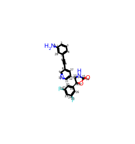 Nc1cccc(C#Cc2cncc([C@@H]3NC(=O)O[C@H]3c3cc(F)cc(F)c3)c2)c1